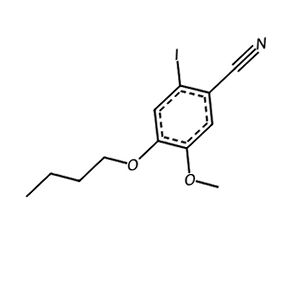 CCCCOc1cc(I)c(C#N)cc1OC